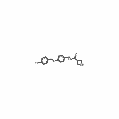 O=C(NCc1ccc(OCc2ccc(Cl)cc2)cc1)C1CNC1